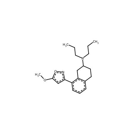 CCCN(CCC)C1CCc2cccc(-c3cc(OC)on3)c2C1